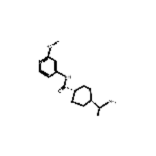 CCNc1cc(NC(=O)[C@H]2CC[C@H](C(C)N)CC2)ccn1